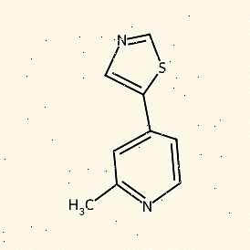 Cc1cc(-c2cncs2)ccn1